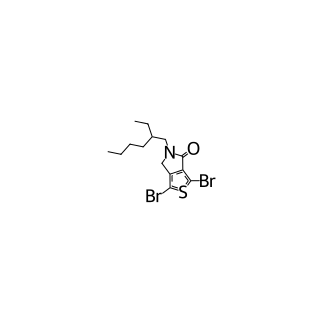 CCCCC(CC)CN1Cc2c(Br)sc(Br)c2C1=O